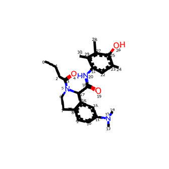 CCCC(=O)N1CCc2ccc(N(C)C)cc2C1C(=O)Nc1cc(C)c(O)c(C)c1C